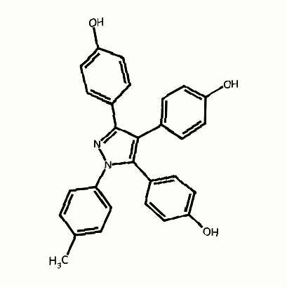 Cc1ccc(-n2nc(-c3ccc(O)cc3)c(-c3ccc(O)cc3)c2-c2ccc(O)cc2)cc1